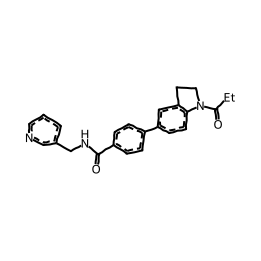 CCC(=O)N1CCc2cc(-c3ccc(C(=O)NCc4cccnc4)cc3)ccc21